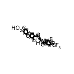 O=C(NCCNC(=O)c1ccc(O[C@H]2CC[C@@H](C(=O)O)CC2)cc1F)c1ccc(OC(F)(F)F)c(F)c1